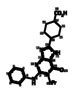 CCCn1c(Nc2ccccc2)nc2nc(C3CCC(C(=O)O)CC3)[nH]c2c1=O